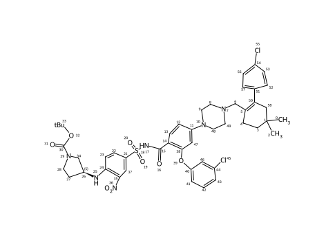 CC1(C)CCC(CN2CCN(c3ccc(C(=O)NS(=O)(=O)c4ccc(N[C@H]5CCN(C(=O)OC(C)(C)C)C5)c([N+](=O)[O-])c4)c(Oc4cccc(Cl)c4)c3)CC2)=C(c2ccc(Cl)cc2)C1